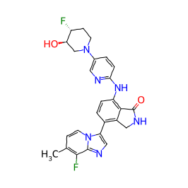 Cc1ccn2c(-c3ccc(Nc4ccc(N5CC[C@@H](F)[C@H](O)C5)cn4)c4c3CNC4=O)cnc2c1F